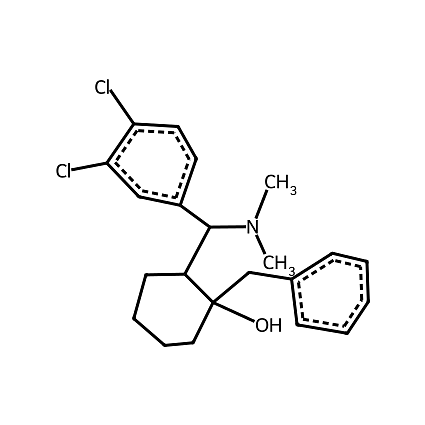 CN(C)C(c1ccc(Cl)c(Cl)c1)C1CCCCC1(O)Cc1ccccc1